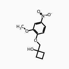 COc1cc([N+](=O)[O-])ccc1OCC1(O)CCC1